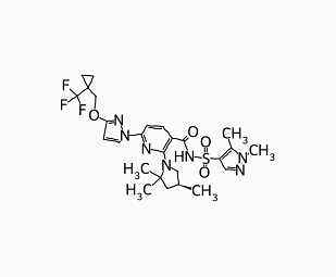 Cc1c(S(=O)(=O)NC(=O)c2ccc(-n3ccc(OCC4(C(F)(F)F)CC4)n3)nc2N2C[C@@H](C)CC2(C)C)cnn1C